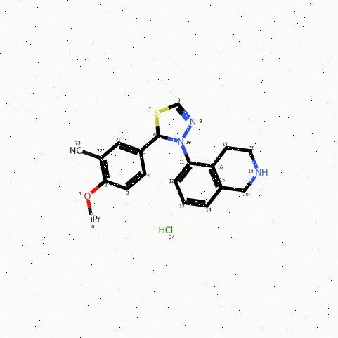 CC(C)Oc1ccc(C2SC=NN2c2cccc3c2CCNC3)cc1C#N.Cl